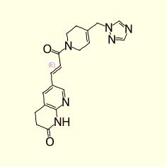 O=C1CCc2cc(/C=C/C(=O)N3CC=C(Cn4cncn4)CC3)cnc2N1